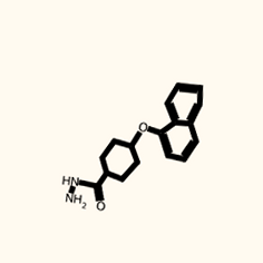 NNC(=O)C1CCC(Oc2cccc3ccccc23)CC1